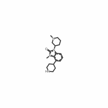 CN1CCCC(n2c(=O)n(C)c3c(C4CCNCC4)cccc32)C1